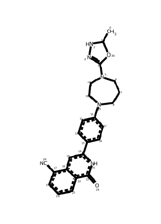 CC1NN=C(N2CCCN(c3ccc(-c4cc5c(C#N)cccc5c(=O)[nH]4)cc3)CC2)O1